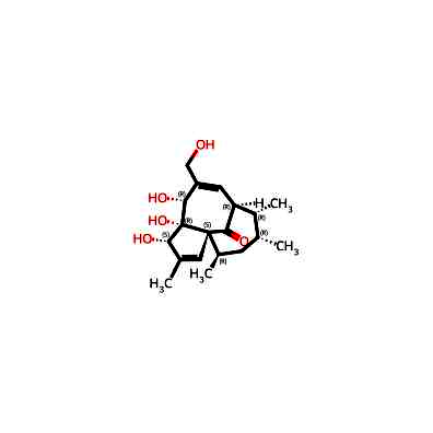 CC1=C[C@]23C(=O)[C@@H](C=C(CO)[C@@H](O)[C@]2(O)[C@H]1O)[C@H](C)[C@H](C)C[C@H]3C